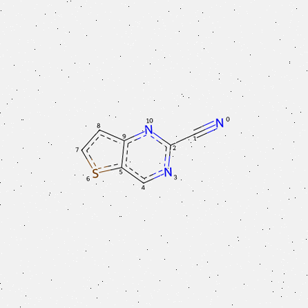 N#Cc1ncc2sccc2n1